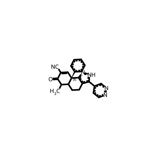 CC1C(=O)C(C#N)=C[C@]2(c3ccccc3)c3n[nH]c(-c4ccnnc4)c3CCC12